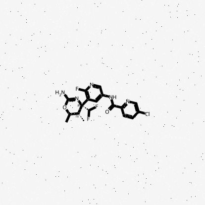 CC1OC(N)=N[C@](c2cc(NC(=O)c3ccc(Cl)cn3)cnc2F)(C(F)F)[C@@H]1C